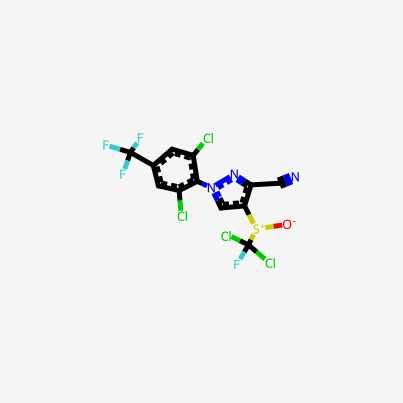 N#Cc1nn(-c2c(Cl)cc(C(F)(F)F)cc2Cl)cc1[S+]([O-])C(F)(Cl)Cl